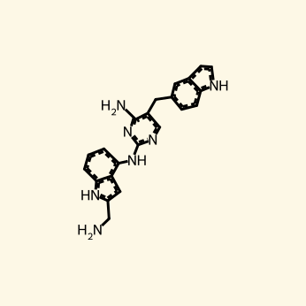 NCc1cc2c(Nc3ncc(Cc4ccc5[nH]ccc5c4)c(N)n3)cccc2[nH]1